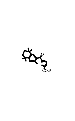 CCOC(=O)c1ccc(C(=O)c2cc3c(cc2C)C(C)(C)CCC3(C)C)s1